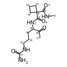 CNC(=O)C1(C(=O)NC(CCCNC(N)=O)C(C)=O)CCC1